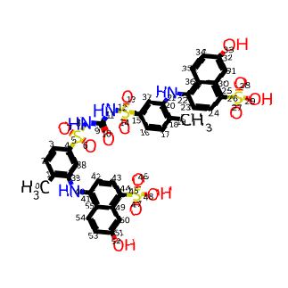 Cc1ccc(S(=O)(=O)NC(=O)NS(=O)(=O)c2ccc(C)c(Nc3ccc(S(=O)(=O)O)c4cc(O)ccc34)c2)cc1Nc1ccc(S(=O)(=O)O)c2cc(O)ccc12